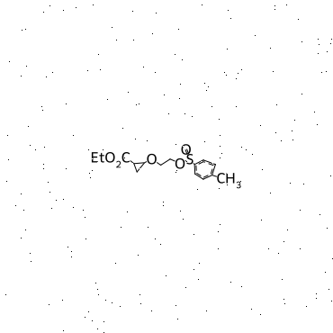 CCOC(=O)C1CC1OCCOS(=O)c1ccc(C)cc1